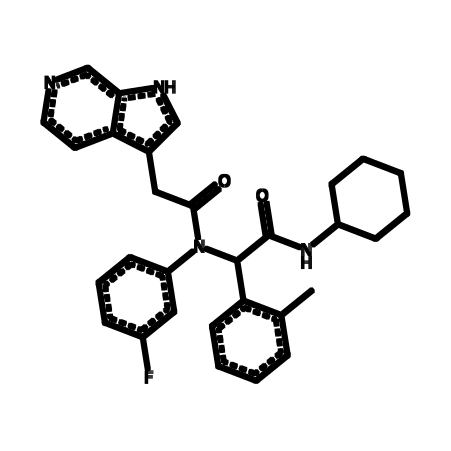 Cc1ccccc1C(C(=O)NC1CCCCC1)N(C(=O)Cc1c[nH]c2cnccc12)c1cccc(F)c1